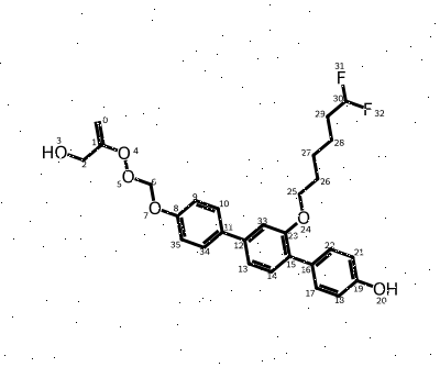 C=C(CO)OOCOc1ccc(-c2ccc(-c3ccc(O)cc3)c(OCCCCCC(F)F)c2)cc1